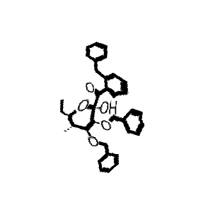 CC[C@H]1O[C@@](O)(C(=O)c2ccccc2Cc2ccccc2)[C@H](OCc2ccccc2)[C@@H](OCc2ccccc2)[C@@H]1C